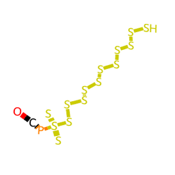 O=C=PS(=S)(=S)SSSSSSSSSSS